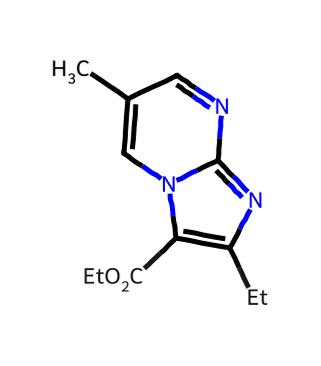 CCOC(=O)c1c(CC)nc2ncc(C)cn12